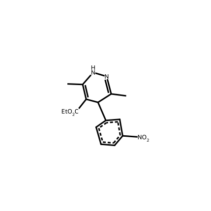 CCOC(=O)C1=C(C)NN=C(C)C1c1cccc([N+](=O)[O-])c1